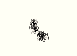 BP(=O)(OC[C@H]1O[C@@H](n2ccc3c(N)ncnc32)[C@](C)(O)C1O)OP(=O)(O)C(F)(F)P(=O)(O)O